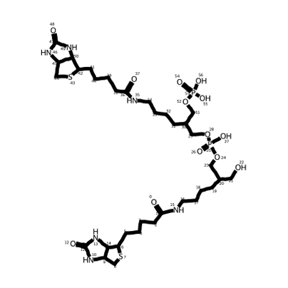 O=C(CCCCC1SCC2NC(=O)NC21)NCCCCC(CO)COP(=O)(O)OCC(CCCCNC(=O)CCCCC1SCC2NC(=O)NC21)COP(=O)(O)O